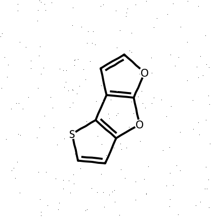 c1cc2c(o1)oc1ccsc12